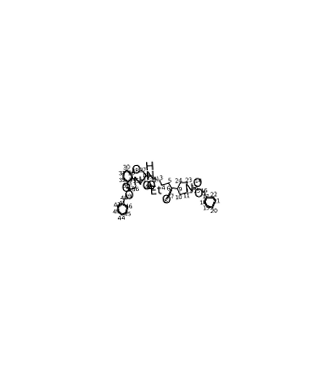 CCO[C@@H](CCCC(=C=O)C1CCN(C(=O)OCc2ccccc2)CC1)N[C@H]1COc2ccccc2N(CC(=O)OCc2ccccc2)C1=O